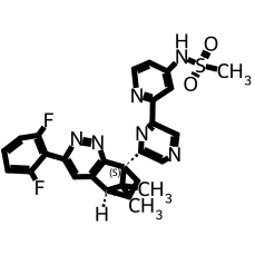 CC1(C)[C@H]2CC[C@]1(c1cncc(-c3cc(NS(C)(=O)=O)ccn3)n1)c1nnc(-c3c(F)cccc3F)cc12